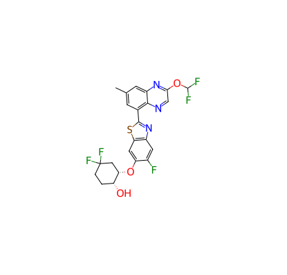 Cc1cc(-c2nc3cc(F)c(O[C@H]4CC(F)(F)CC[C@H]4O)cc3s2)c2ncc(OC(F)F)nc2c1